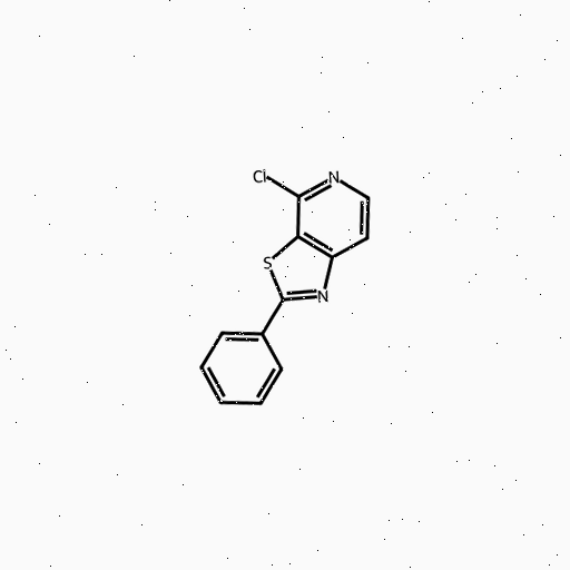 Clc1nccc2nc(-c3ccccc3)sc12